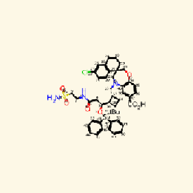 CC(C)(C)[Si](O[C@@H](CC(=O)NCCS(N)(=O)=O)[C@@H]1CC[C@H]1CN1CC2(CCCc3cc(Cl)ccc32)COc2ccc(C(=O)O)cc21)(c1ccccc1)c1ccccc1